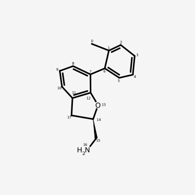 Cc1ccccc1-c1cccc2c1O[C@@H](CN)C2